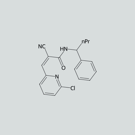 CCCC(NC(=O)C(C#N)=Cc1cccc(Cl)n1)c1ccccc1